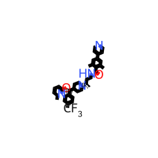 Cc1cccc(O[C@@H](c2ccc(C(F)(F)F)cc2)C2CCN([C@H](C)CCNC(=O)c3c(C)cc(-c4ccncc4)cc3C)CC2)n1